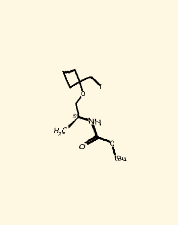 C[C@@H](COC1(CI)CCC1)NC(=O)OC(C)(C)C